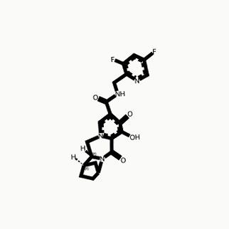 O=C(NCc1ncc(F)cc1F)c1cn2c(c(O)c1=O)C(=O)N1C3CC[C@H](C3)[C@@H]1C2